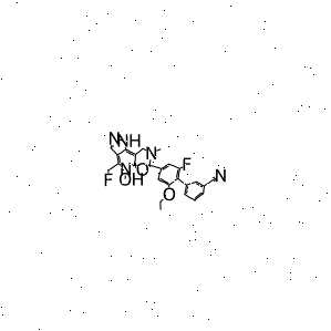 CCOc1cc(C(=O)N(C)Cc2c[n+](O)c(CF)c3cn[nH]c23)cc(F)c1-c1cccc(C#N)c1